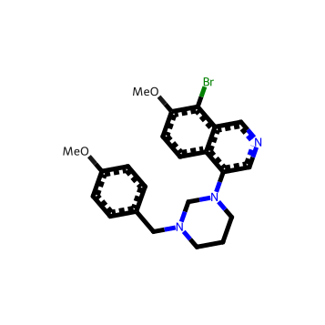 COc1ccc(CN2CCCN(c3cncc4c(Br)c(OC)ccc34)C2)cc1